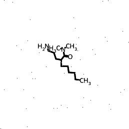 CCCCCCC(CCCN)C(=O)N(C)C